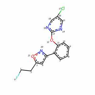 FCCc1cc(-c2ccccc2Oc2ncc(Cl)cn2)no1